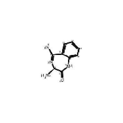 CC(C)C1=N[C@H](N)C(=O)Nc2ccccc21